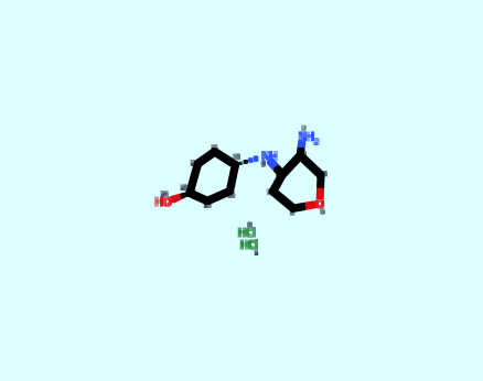 Cl.Cl.NC1COCCC1N[C@H]1CC[C@H](O)CC1